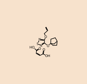 C=CCOc1nsnc1OC12CCC(CC1)C2.O=C(O)/C=C\C(=O)O